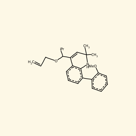 C=CCOC(C1=CC(C)(C)Nc2c1cccc2-c1ccccc1OC)C(C)C